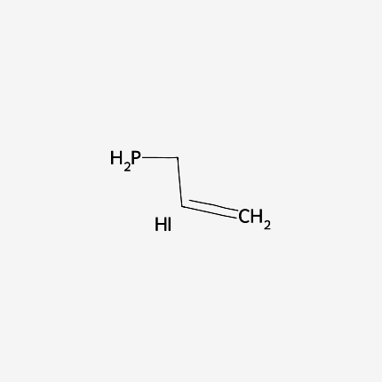 C=CCP.I